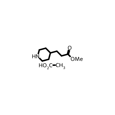 CC(=O)O.COC(=O)CCC1CCNCC1